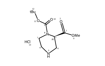 COC(=O)[C@H]1CNCCN1C(=O)OC(C)(C)C.Cl